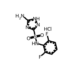 Cl.Nc1nc(S(=O)(=O)Nc2c(F)cccc2F)n[nH]1